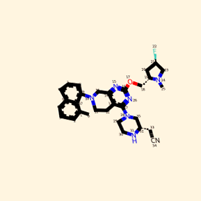 Cc1cccc2cccc(N3CCc4c(nc(OC[C@@H]5C[C@@H](F)CN5C)nc4N4CCN[C@@H](CC#N)C4)C3)c12